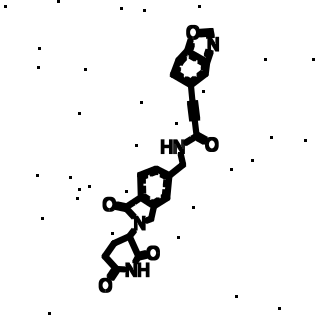 O=C(C#Cc1ccc2ocnc2c1)NCc1ccc2c(c1)CN(C1CCC(=O)NC1=O)C2=O